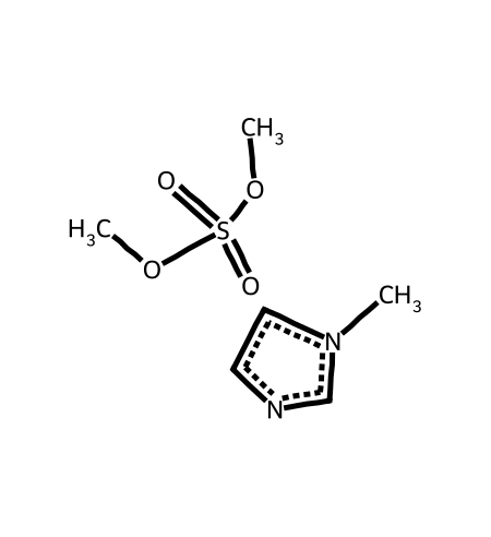 COS(=O)(=O)OC.Cn1ccnc1